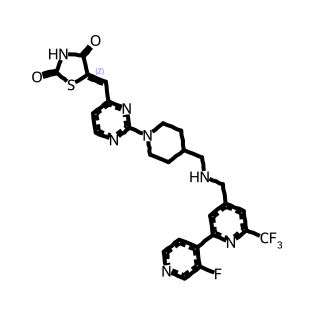 O=C1NC(=O)/C(=C/c2ccnc(N3CCC(CNCc4cc(-c5ccncc5F)nc(C(F)(F)F)c4)CC3)n2)S1